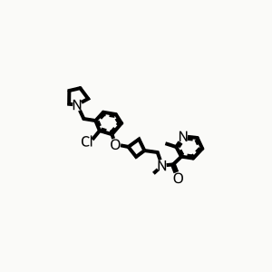 Cc1ncccc1C(=O)N(C)CC1CC(Oc2cccc(CN3CCCC3)c2Cl)C1